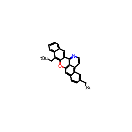 CC(C)(C)Cc1ccc2cc3c4c(nccc4c2c1)-c1cc2ccccc2c(CC(C)(C)C)c1O3